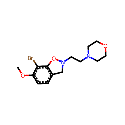 COc1ccc2c(c1Br)ON(CCN1CCOCC1)C2